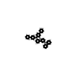 c1ccc(-c2ccc(N(c3ccc(-c4ccccc4)cc3)c3cccc4c3sc3ccc(-n5c6ccccc6c6ccccc65)cc34)cc2)cc1